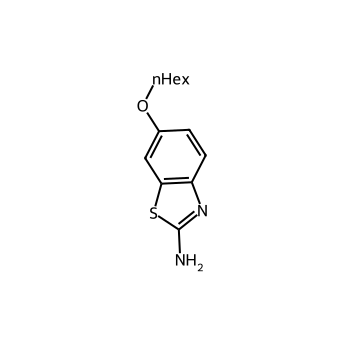 CCCCCCOc1ccc2nc(N)sc2c1